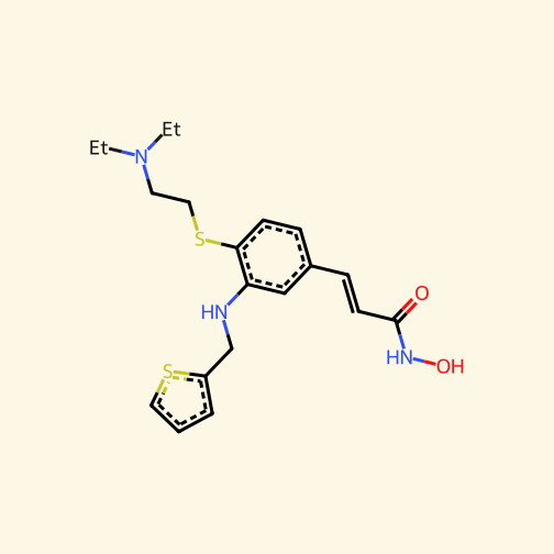 CCN(CC)CCSc1ccc(C=CC(=O)NO)cc1NCc1cccs1